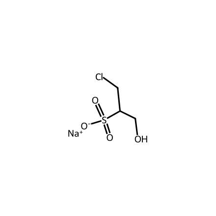 O=S(=O)([O-])C(CO)CCl.[Na+]